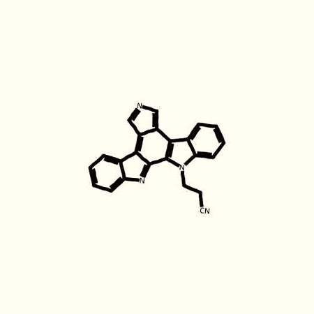 N#CCCn1c2ccccc2c2c3c(c4c(c21)=Nc1ccccc1-4)C=NC=3